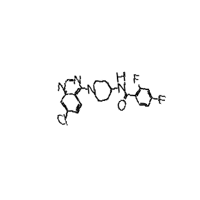 O=C(NC1CCN(c2ncnc3cc(Cl)ccc23)CC1)c1ccc(F)cc1F